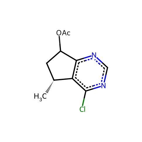 CC(=O)OC1C[C@@H](C)c2c(Cl)ncnc21